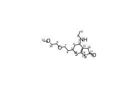 CCNC1CC(CCOCCOC)SC2=C1CC(=O)S2